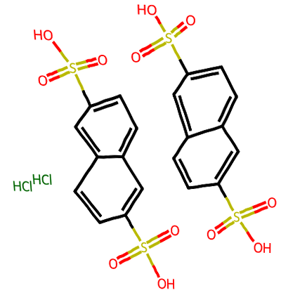 Cl.Cl.O=S(=O)(O)c1ccc2cc(S(=O)(=O)O)ccc2c1.O=S(=O)(O)c1ccc2cc(S(=O)(=O)O)ccc2c1